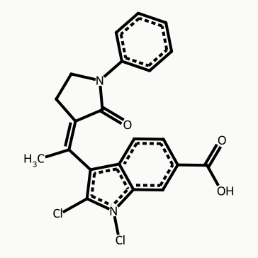 CC(=C1CCN(c2ccccc2)C1=O)c1c(Cl)n(Cl)c2cc(C(=O)O)ccc12